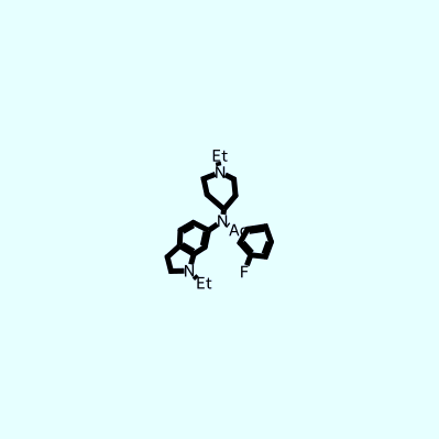 CCN1CCC(N(C(C)=O)c2ccc3c(c2)N(CC)CC3)CC1.Fc1ccccc1